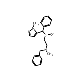 CN(CC[S+]([O-])C(c1ccccc1)c1ccnn1C)Cc1ccccc1